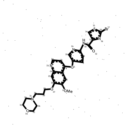 COc1cc2c(Oc3ccc(NC(=O)c4csc(Br)n4)nc3)ccnc2cc1OCCCN1CCOCC1